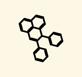 C1=C(c2ccccc2)C(c2ccccc2)c2cccc3cccc1c23